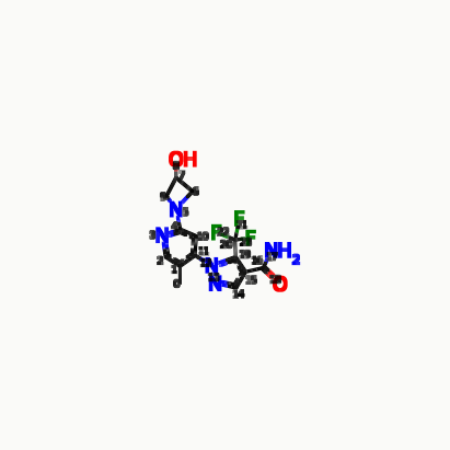 Cc1cnc(N2CC(O)C2)cc1-n1ncc(C(N)=O)c1C(F)(F)F